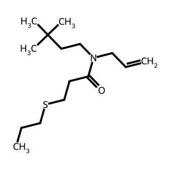 C=CCN(CCC(C)(C)C)C(=O)CCSCCC